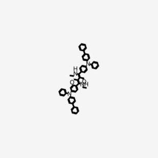 CCN/C(=C(C=O)\C(C=O)=C(/NCC)c1ccc(N(c2ccccc2)c2ccc(-c3ccccc3)cc2)cc1)c1ccc(N(c2ccccc2)c2ccc(-c3ccccc3)cc2)cc1